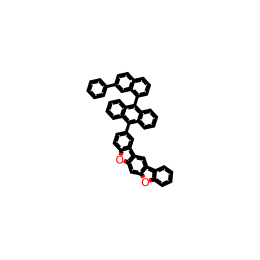 c1ccc(-c2ccc3cccc(-c4c5ccccc5c(-c5ccc6oc7cc8oc9ccccc9c8cc7c6c5)c5ccccc45)c3c2)cc1